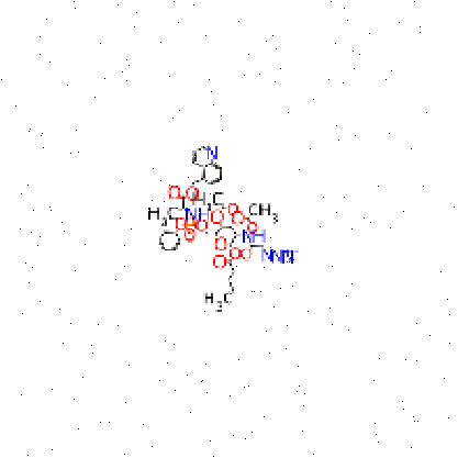 CCCCC(=O)OC1O[C@H](COP(=O)(N[C@@H](C)C(=O)OCc2cccc3ncccc23)Oc2ccccc2)[C@@H](OC(C)=O)[C@H](OC(C)=O)[C@@H]1NC(=O)CN=[N+]=[N-]